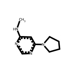 CNc1cc(N2CCCC2)ncn1